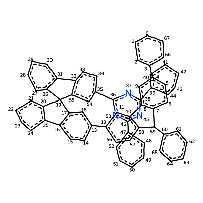 c1ccc(-c2ccc3c(c2)-c2cc(-c4ccc5c(c4)C4(c6ccccc6-5)c5ccccc5-c5ccc(-c6nc(-c7ccccc7)nc(-c7ccccc7)n6)cc54)ccc2C3c2ccccc2)cc1